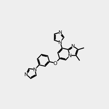 Cc1nc2c(-n3ccnc3)cc(Oc3cccc(-n4ccnc4)c3)cn2c1C